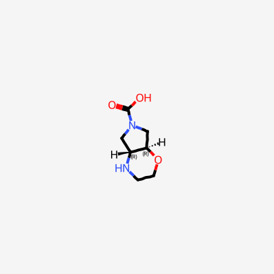 O=C(O)N1C[C@H]2NCCO[C@@H]2C1